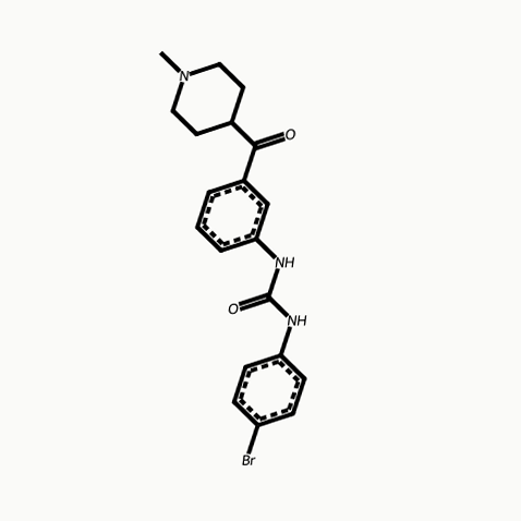 CN1CCC(C(=O)c2cccc(NC(=O)Nc3ccc(Br)cc3)c2)CC1